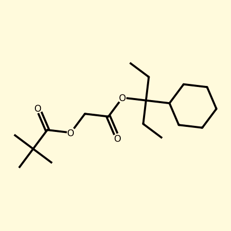 CCC(CC)(OC(=O)COC(=O)C(C)(C)C)C1CCCCC1